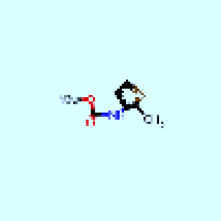 [CH2]c1sccc1NC(=O)OC(C)(C)C